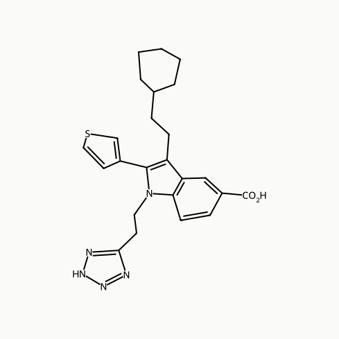 O=C(O)c1ccc2c(c1)c(CCC1CCCCC1)c(-c1ccsc1)n2CCc1nn[nH]n1